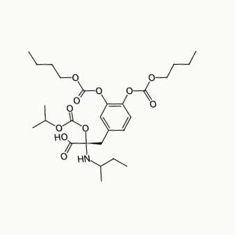 CCCCOC(=O)Oc1ccc(C[C@](NC(C)CC)(OC(=O)OC(C)C)C(=O)O)cc1OC(=O)OCCCC